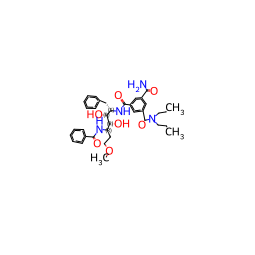 CCCN(CCC)C(=O)c1cc(C(N)=O)cc(C(=O)N[C@@H](Cc2ccccc2)[C@@H](O)[C@H](O)[C@@H](CCOC)NC(=O)c2ccccc2)c1